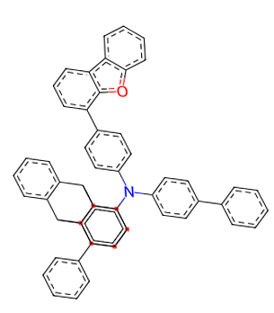 c1ccc(-c2ccc(N(c3ccc(-c4cccc5c4oc4ccccc45)cc3)c3ccc(-c4ccccc4)c4c3C3c5ccccc5C4c4ccccc43)cc2)cc1